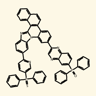 O=P(c1ccccc1)(c1ccccc1)c1ccc2nc(-c3ccc4c5ccc6ccccc6c5c5nc6ccc(-c7ccc(P(=S)(c8ccccc8)c8ccccc8)cn7)cc6n5c4c3)cnc2c1